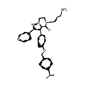 CC(C)c1ccc(COc2ccc(-c3c(-c4ccncc4)nn4c3C(=O)N(CCCN)CC4)cc2)cc1